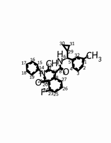 Cc1cccc([C@@H](NC(=O)c2c(C)n(-c3ccccc3)c(=O)c3c(F)cccc23)C2CC2)c1